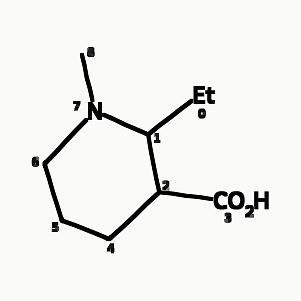 CCC1C(C(=O)O)CCCN1C